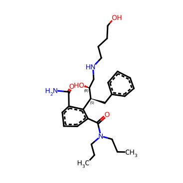 CCCN(CCC)C(=O)c1cccc(C(N)=O)c1[C@H](Cc1ccccc1)[C@@H](O)CNCCCCO